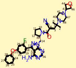 CC(C)(C=C(C#N)C(=O)N1CCC[C@H]1Cn1nc(-c2ccc(Oc3ccccc3)cc2F)c2c(N)ncnc21)N1CCN(C2COC2)CC1